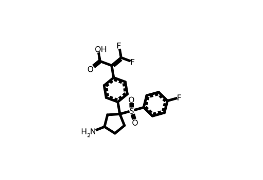 NC1CCC(c2ccc(C(C(=O)O)=C(F)F)cc2)(S(=O)(=O)c2ccc(F)cc2)C1